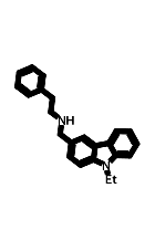 CCn1c2ccccc2c2cc(CNCCc3ccccc3)ccc21